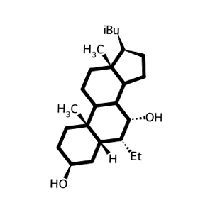 CC[C@H]1[C@@H](O)C2C3CC[C@H]([C@H](C)CC)[C@@]3(C)CCC2[C@@]2(C)CC[C@H](O)C[C@@H]12